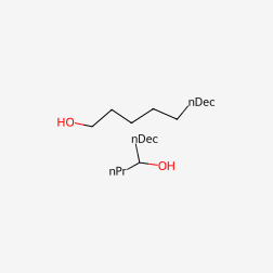 CCCCCCCCCCC(O)CCC.CCCCCCCCCCCCCCCO